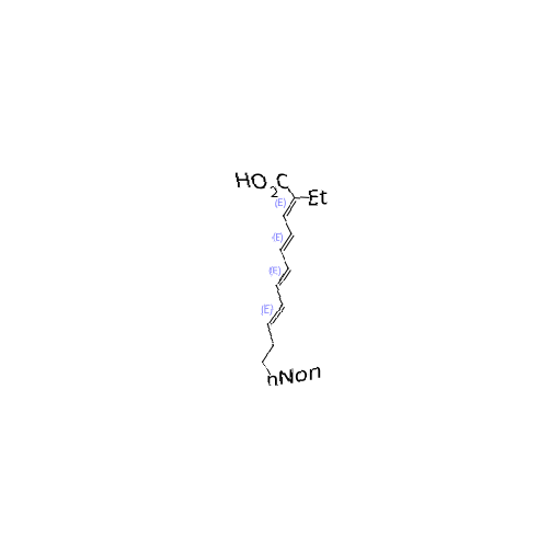 CCCCCCCCCCC/C=C/C=C/C=C/C=C(\CC)C(=O)O